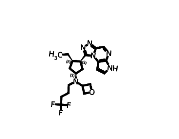 CC[C@@H]1C[C@H](N(CCCC(F)(F)F)C2COC2)C[C@@H]1c1nnc2cnc3[nH]ccc3n12